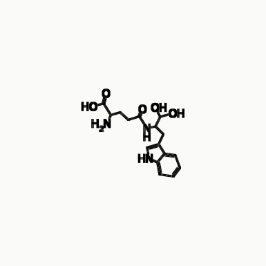 NC(CCC(=O)NC(Cc1c[nH]c2ccccc12)C(O)O)C(=O)O